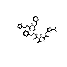 C=C(C)[C@H](NC(=O)N(C)Cc1csc(C(C)C)n1)C(=O)N[C@H](/C=C/[C@H](Cc1ccccc1)NC(=O)OCc1cncs1)Cc1ccccc1